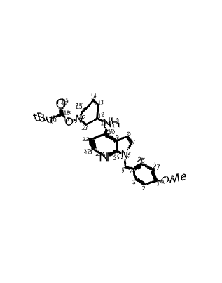 COc1ccc(Cn2ccc3c(NC4CCCN(OC(=O)C(C)(C)C)C4)ccnc32)cc1